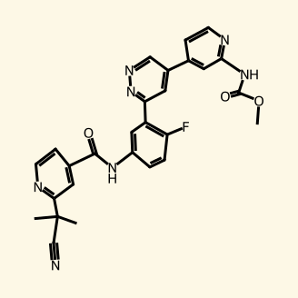 COC(=O)Nc1cc(-c2cnnc(-c3cc(NC(=O)c4ccnc(C(C)(C)C#N)c4)ccc3F)c2)ccn1